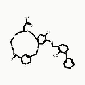 Cc1c(COc2cc3c(cc2Cl)CNC(CC(=O)O)CCCCNC(=O)c2cncc(c2)CO3)cccc1-c1ccccc1